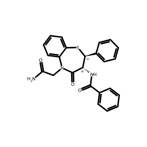 NC(=O)CN1C(=O)[C@@H](NC(=O)c2ccccc2)[C@H](c2ccccc2)Sc2ccccc21